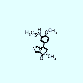 COc1ccc(-c2cn(C)c(=O)c3cncn23)cc1NSC